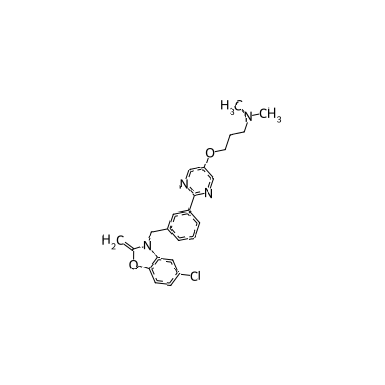 C=C1Oc2ccc(Cl)cc2N1Cc1cccc(-c2ncc(OCCCN(C)C)cn2)c1